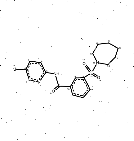 O=C(Nc1ccc(Cl)nn1)c1cccc(S(=O)(=O)N2CCCCCC2)c1